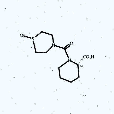 O=C(O)[C@@H]1CCCCN1C(=O)N1CC[S+]([O-])CC1